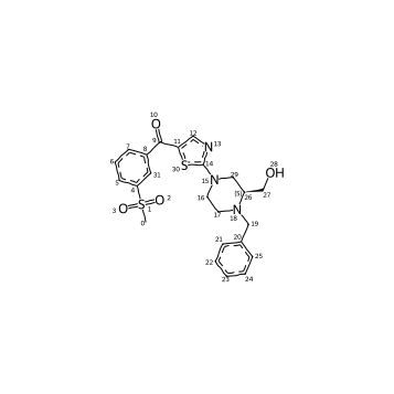 CS(=O)(=O)c1cccc(C(=O)c2cnc(N3CCN(Cc4ccccc4)[C@H](CO)C3)s2)c1